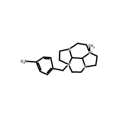 C[N+]12CCN3CC[N+]4(Cc5ccc([N+](=O)[O-])cc5)CCN(CC1)C4C32